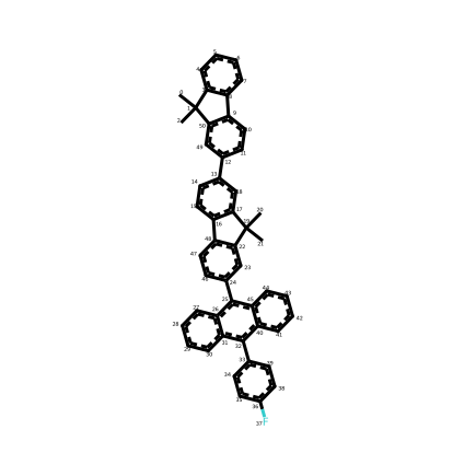 CC1(C)c2ccccc2-c2ccc(-c3ccc4c(c3)C(C)(C)c3cc(-c5c6ccccc6c(-c6ccc(F)cc6)c6ccccc56)ccc3-4)cc21